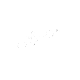 O=C(NS(=O)(=O)/C=C/c1ccc(Br)cc1)N1CCSCC1